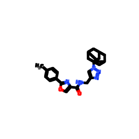 Cc1ccc(-c2nc(C(=O)NCc3cn(C45CC6CC(CC(C6)C4)C5)nn3)co2)cc1